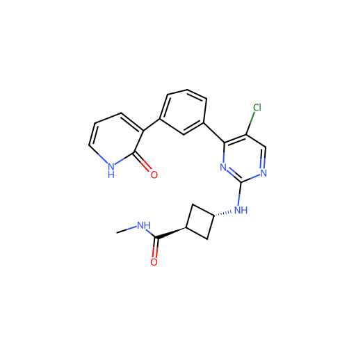 CNC(=O)[C@H]1C[C@H](Nc2ncc(Cl)c(-c3cccc(-c4ccc[nH]c4=O)c3)n2)C1